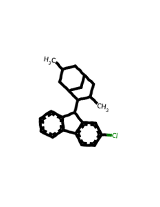 CC1CC2CC(C)C(C3c4ccccc4-c4ccc(Cl)cc43)C(C1)C2